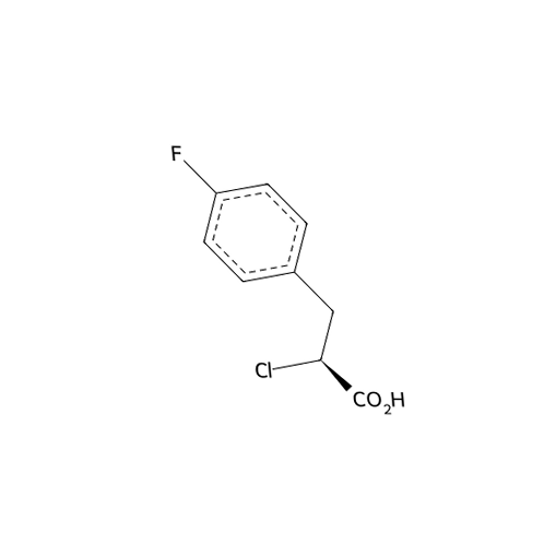 O=C(O)[C@@H](Cl)Cc1ccc(F)cc1